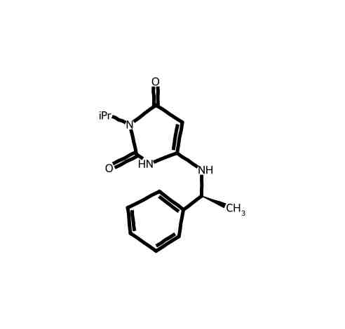 CC(C)n1c(=O)cc(N[C@@H](C)c2ccccc2)[nH]c1=O